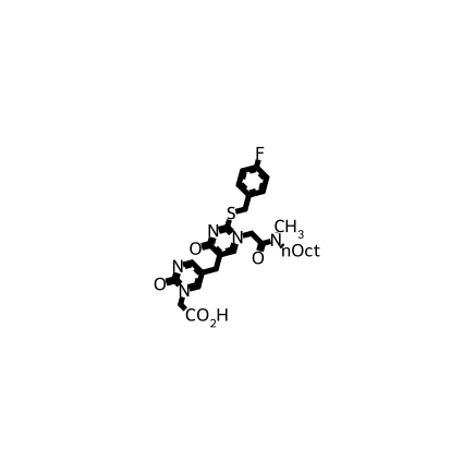 CCCCCCCCN(C)C(=O)Cn1cc(Cc2cnc(=O)n(CC(=O)O)c2)c(=O)nc1SCc1ccc(F)cc1